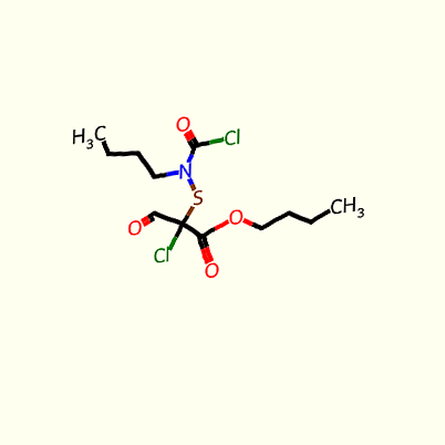 CCCCOC(=O)C(Cl)(C=O)SN(CCCC)C(=O)Cl